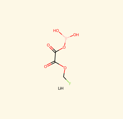 O=C(OCF)C(=O)OB(O)O.[LiH]